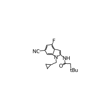 CC(C)(C)CC(=O)Nc1cc2c(F)cc(C#N)cc2n1CC1CC1